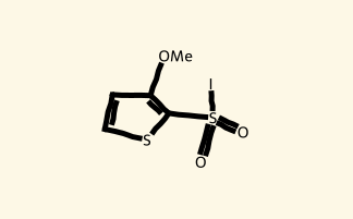 COc1ccsc1S(=O)(=O)I